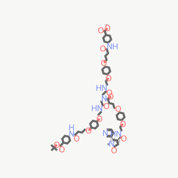 COC(=O)C1CCC(NC(=O)CCCOC2CCC(OCCNC(=O)CN(CC(=O)NCCOC3CCC(OCCCC(=O)NC4CCC(C(=O)OC(C)(C)C)CC4)CC3)C(=O)CCCOC3CCC(OCCNC(=O)[C@H]4CC(=O)N(C)[C@@H]4c4cccnc4)CC3)CC2)CC1